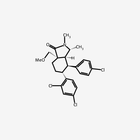 COC[C@@]12CC[C@@H](c3ccc(Cl)cc3Cl)[C@H](c3ccc(Cl)cc3)[C@@H]1[C@@H](C)N(C)C2=O